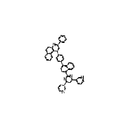 c1ccc(-c2cc(-c3ccc(-c4ccc(-c5nc(-c6cccnc6)cc(-c6cccnc6)n5)c5ccccc45)cc3)c3c(ccc4ccccc43)n2)cc1